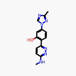 CNc1ccc(-c2ccc(-n3cnc(C)n3)cc2O)nn1